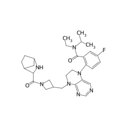 CCN(C(=O)c1cc(F)ccc1N1CCN(CC2CN(C(=O)C3NC4CCC3C4)C2)c2ncncc21)C(C)C